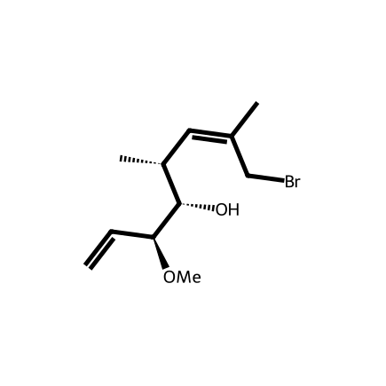 C=C[C@H](OC)[C@@H](O)[C@H](C)/C=C(/C)CBr